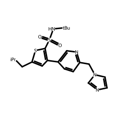 CC(C)Cc1cc(-c2ccc(Cn3ccnc3)nc2)c(S(=O)(=O)NC(C)(C)C)s1